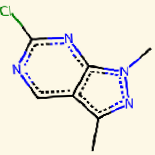 Cc1nn(C)c2nc(Cl)ncc12